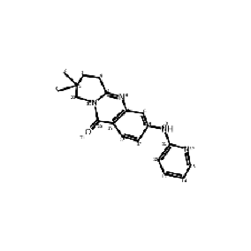 CC1(C)CCc2nc3cc(Nc4ccccn4)ccc3c(=O)n2C1